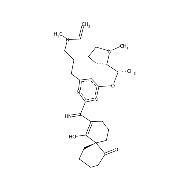 C=CN(C)CCCc1cc(O[C@@H](C)[C@@H]2CCCN2C)nc(C(=N)C2=C(O)[C@]3(CCCCC3=O)CCC2)n1